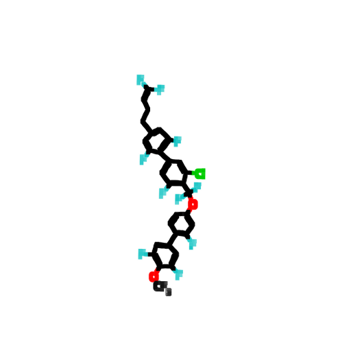 FC(F)=CCCc1cc(F)c(-c2cc(F)c(C(F)(F)Oc3ccc(-c4cc(F)c(OC(F)(F)F)c(F)c4)c(F)c3)c(Cl)c2)c(F)c1